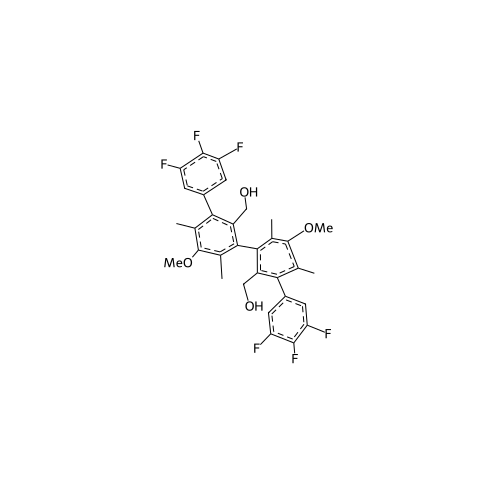 COc1c(C)c(-c2cc(F)c(F)c(F)c2)c(CO)c(-c2c(C)c(OC)c(C)c(-c3cc(F)c(F)c(F)c3)c2CO)c1C